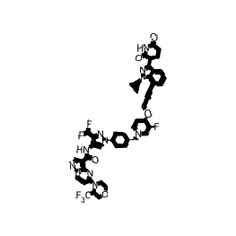 O=C1CCC(c2nn(C3CC3)c3c(C#CCO[C@@H]4CCN(C[C@H]5CC[C@H](n6cc(NC(=O)c7cnn8ccc(N9CCOCC9C(F)(F)F)nc78)c(C(F)F)n6)CC5)C[C@@H]4F)cccc23)C(=O)N1